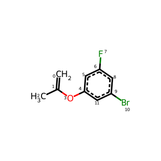 C=C(C)Oc1cc(F)cc(Br)c1